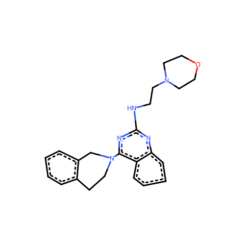 c1ccc2c(c1)CCN(c1nc(NCCN3CCOCC3)nc3ccccc13)C2